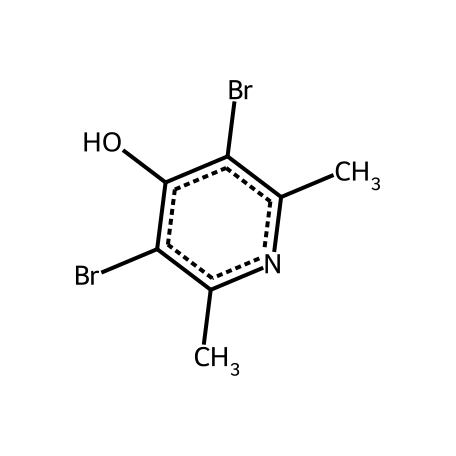 Cc1nc(C)c(Br)c(O)c1Br